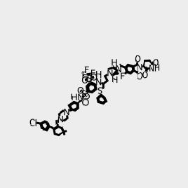 CC1(C)CCC(c2ccc(Cl)cc2)=C(CN2CCN(c3ccc(C(=O)NS(=O)(=O)c4ccc(NC(CCN5C[C@@H]6C[C@H]5CN6Cc5cc6c(cc5F)C(=O)N(C5CCC(=O)NC5=O)C6=O)CSc5ccccc5)c(S(=O)(=O)C(F)(F)F)c4)cc3)CC2)C1